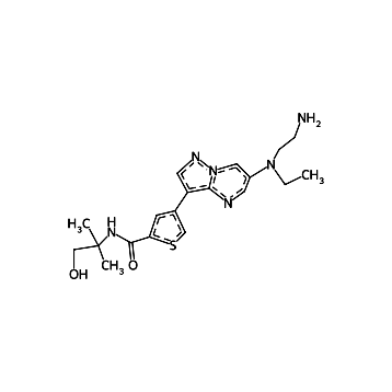 CCN(CCN)c1cnc2c(-c3csc(C(=O)NC(C)(C)CO)c3)cnn2c1